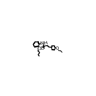 CCCCOc1ccccc1NC(=O)/C=C/c1ccc(OCCC)cc1